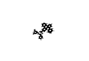 Cc1cc(-c2nc(-c3ccccc3)nc(-c3ccc(-c4c(-c5ccccc5)cccc4-c4ccccc4)cc3)n2)cc(C)n1